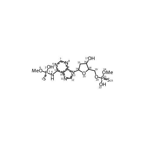 COP(O)(=S)Nc1ncnc2c1ncn2C1CC(O)C(COP(O)(=S)OC)O1